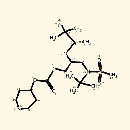 C[C@H](O[C@H](COC(=O)OC1CCNCC1)CN(C(C)(C)C)S(C)(=O)=O)C(C)(C)C